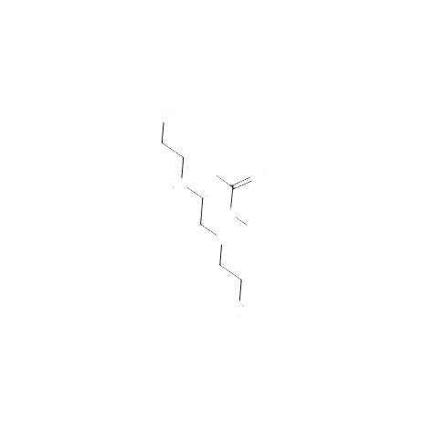 COC(C)=O.OCCOCCOCCO